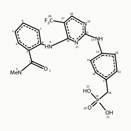 CNC(=O)c1ccccc1Nc1nc(Nc2ccc(CP(=O)(O)O)cc2)ncc1C(F)(F)F